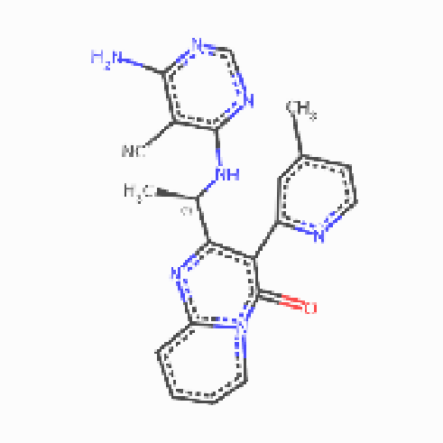 Cc1ccnc(-c2c([C@@H](C)Nc3ncnc(N)c3C#N)nc3ccccn3c2=O)c1